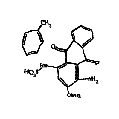 COc1cc(NS(=O)(=O)O)c2c(c1N)C(=O)c1ccccc1C2=O.Cc1ccccc1